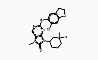 Cn1c(=O)n(C2CCCC(C)(O)C2)c2nc(Nc3cc4c(cc3Cl)OCC4)ncc21